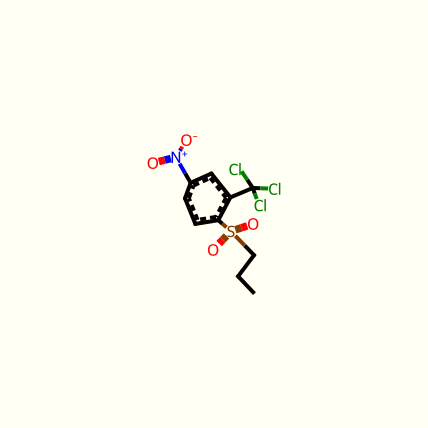 CCCS(=O)(=O)c1ccc([N+](=O)[O-])cc1C(Cl)(Cl)Cl